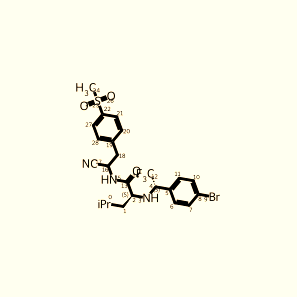 CC(C)C[C@H](N[C@@H](c1ccc(Br)cc1)C(F)(F)F)C(=O)NC(C#N)Cc1ccc(S(C)(=O)=O)cc1